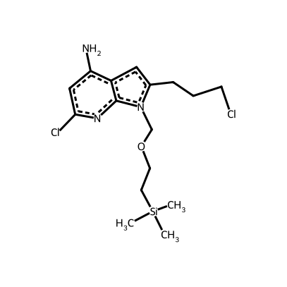 C[Si](C)(C)CCOCn1c(CCCCl)cc2c(N)cc(Cl)nc21